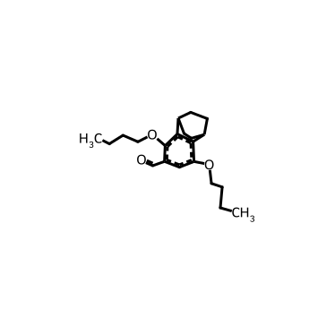 CCCCOc1cc(C=O)c(OCCCC)c2c1C1CCC2CC1